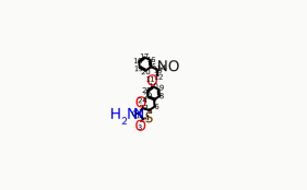 NN1C(=O)SC(Cc2ccc(OCC(N=O)c3ccccc3)cc2)C1=O